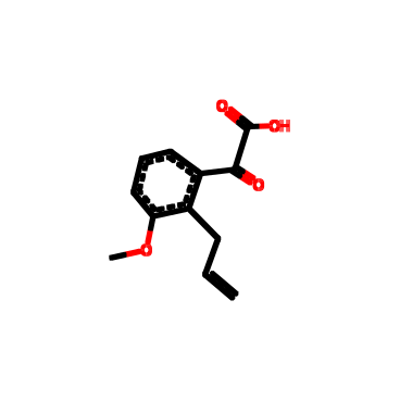 C=CCc1c(OC)cccc1C(=O)C(=O)O